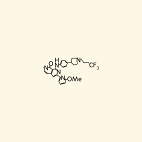 COc1cccc(-c2cc3c(c(Nc4ccc(C5CCN(CCCC(F)(F)F)CC5)cc4)n2)C(=O)[N]C=C3)n1